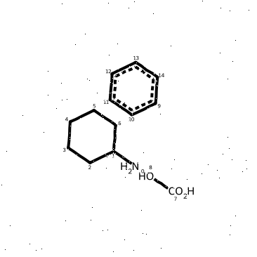 NC1CCCCC1.O=C(O)O.c1ccccc1